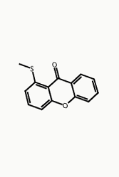 CSc1cccc2oc3ccccc3c(=O)c12